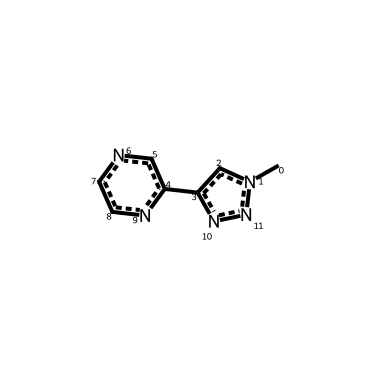 Cn1cc(-c2cnccn2)nn1